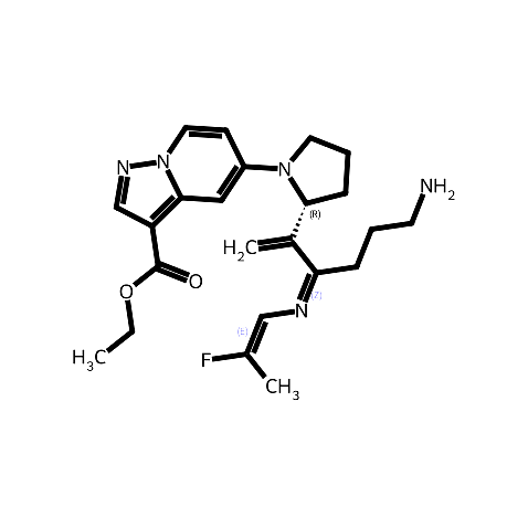 C=C(/C(CCCN)=N\C=C(/C)F)[C@H]1CCCN1c1ccn2ncc(C(=O)OCC)c2c1